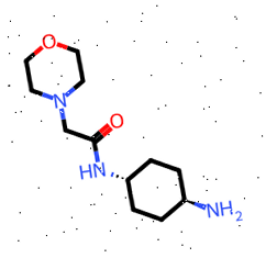 N[C@H]1CC[C@H](NC(=O)CN2CCOCC2)CC1